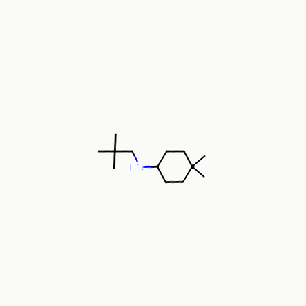 CC(C)(C)CNC1CCC(C)(C)CC1